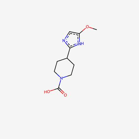 COc1cnc(C2CCN(C(=O)O)CC2)[nH]1